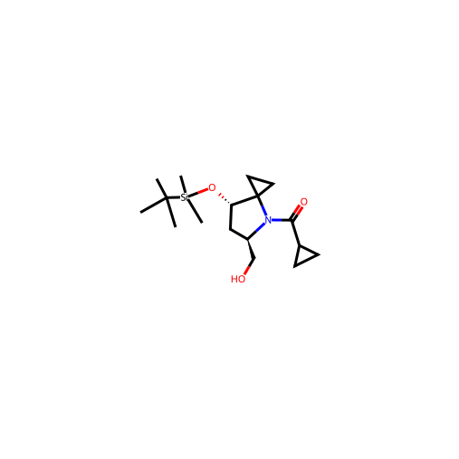 CC(C)(C)[Si](C)(C)O[C@H]1C[C@H](CO)N(C(=O)C2CC2)C12CC2